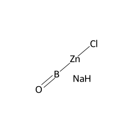 O=[B][Zn][Cl].[NaH]